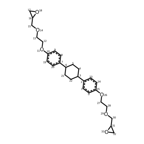 c1cc(C2CCC(c3ccc(OCCOCC4CO4)cc3)CC2)ccc1OCCOCC1CO1